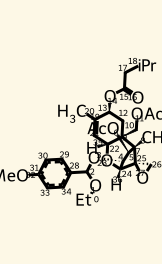 CCOC(O[C@@H]1[C@@H](OC(C)=O)[C@]2(C)[C@@]3(COC(C)=O)C[C@H](OC(=O)CC(C)C)C(C)=C[C@H]3O[C@H]1[C@@]21CO1)c1ccc(OC)cc1